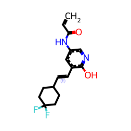 C=CC(=O)Nc1cnc(O)c(/C=C/C2CCC(F)(F)CC2)c1